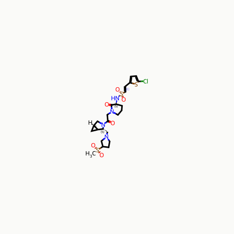 CS(=O)(=O)C1CCN(C[C@@H]2C3C[C@H]3CN2C(=O)CN2CCC[C@H](NS(=O)(=O)/C=C/c3ccc(Cl)s3)C2=O)C1